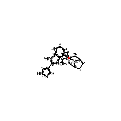 OC1CCC1N1C2CCC1CN(c1ccnc3[nH]c(-c4cn[nH]c4)nc13)C2